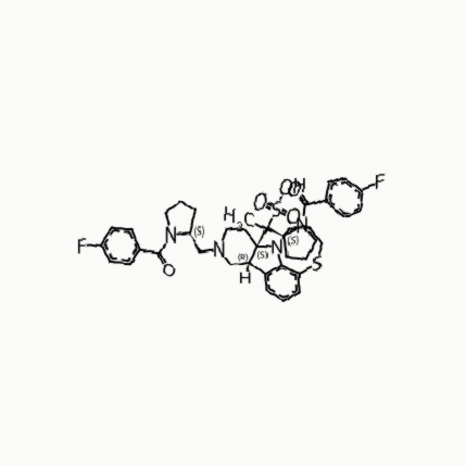 CC([C@@H]1CCCN1C(=O)c1ccc(F)cc1)([C@]12CCN(C[C@@H]3CCCN3C(=O)c3ccc(F)cc3)C[C@H]1c1cccc3c1N2CCCS3)S(=O)(=O)O